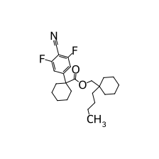 CCCCC1(COC(=O)C2(c3cc(F)c(C#N)c(F)c3)CCCCC2)CCCCC1